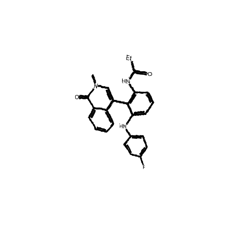 CCC(=O)Nc1cccc(Nc2ccc(F)cc2)c1-c1cn(C)c(=O)c2ccccc12